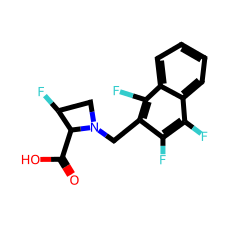 O=C(O)C1C(F)CN1Cc1c(F)c(F)c2ccccc2c1F